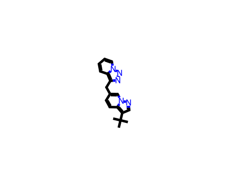 CC(C)(C)c1cnn2cc(Cc3nnn4ccccc34)ccc12